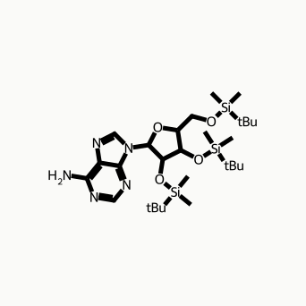 CC(C)(C)[Si](C)(C)OCC1OC(n2cnc3c(N)ncnc32)C(O[Si](C)(C)C(C)(C)C)C1O[Si](C)(C)C(C)(C)C